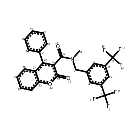 CN(Cc1cc(C(F)(F)F)cc(C(F)(F)F)c1)C(=O)c1c(-c2ccccc2)c2ccccc2oc1=O